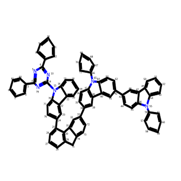 c1ccc(-c2nc(-c3ccccc3)nc(-n3c4ccccc4c4cc(-c5cccc6c5-c5cc(-c7ccc8c(c7)c7cc(-c9ccc%10c(c9)c9ccccc9n%10-c9ccccc9)ccc7n8-c7ccccc7)ccc5C6)ccc43)n2)cc1